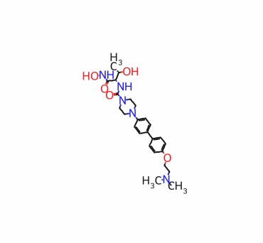 C[C@@H](O)[C@H](NC(=O)N1CCN(c2ccc(-c3ccc(OCCN(C)C)cc3)cc2)CC1)C(=O)NO